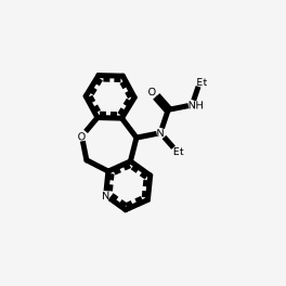 CCNC(=O)N(CC)C1c2ccccc2OCc2ncccc21